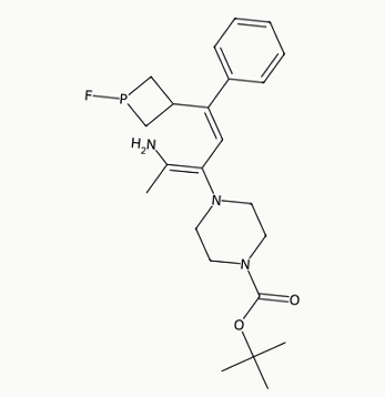 C/C(N)=C(/C=C(/c1ccccc1)C1CP(F)C1)N1CCN(C(=O)OC(C)(C)C)CC1